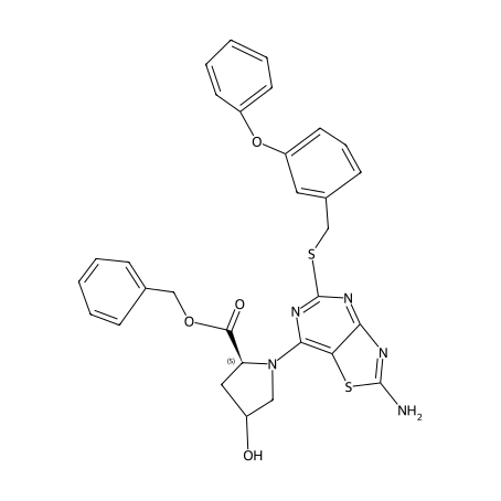 Nc1nc2nc(SCc3cccc(Oc4ccccc4)c3)nc(N3CC(O)C[C@H]3C(=O)OCc3ccccc3)c2s1